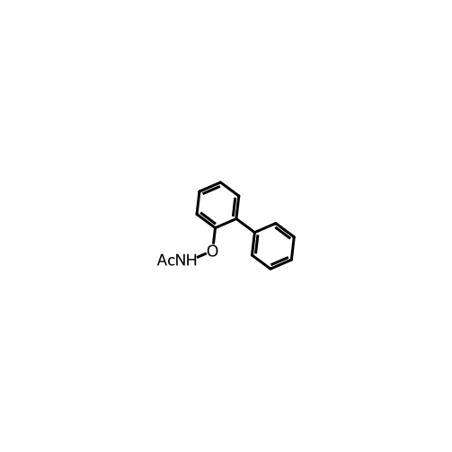 CC(=O)NOc1ccccc1-c1ccccc1